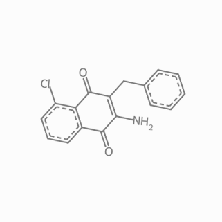 NC1=C(Cc2ccccc2)C(=O)c2c(Cl)cccc2C1=O